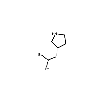 CCN(CC)C[C@H]1CCNC1